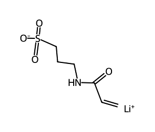 C=CC(=O)NCCCS(=O)(=O)[O-].[Li+]